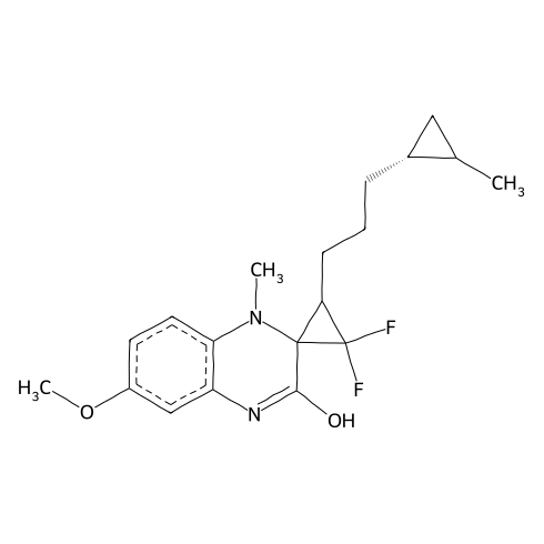 COc1ccc2c(c1)N=C(O)C1(C(CCC[C@@H]3CC3C)C1(F)F)N2C